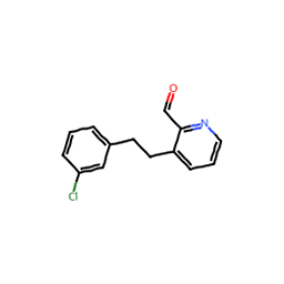 O=Cc1ncccc1CCc1cccc(Cl)c1